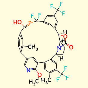 COc1ncc2cc1-c1cc(C)c(C(F)(F)F)cc1[C@@H]1CC[C@H]3[C@H](OC(=O)N13)c1cc(C(F)(F)F)cc(c1)C(F)(F)/P=C(/O)c1ccc-2c(C)c1